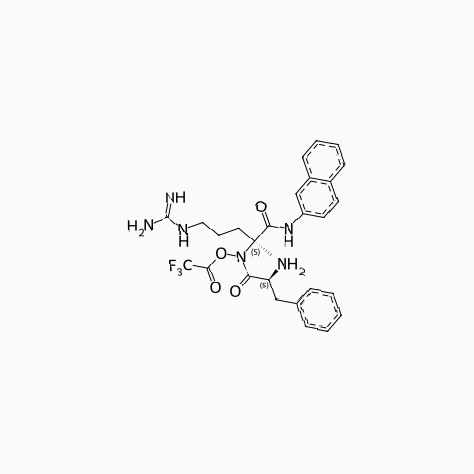 C[C@](CCCNC(=N)N)(C(=O)Nc1ccc2ccccc2c1)N(OC(=O)C(F)(F)F)C(=O)[C@@H](N)Cc1ccccc1